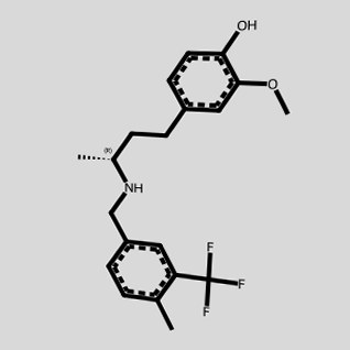 COc1cc(CC[C@@H](C)NCc2ccc(C)c(C(F)(F)F)c2)ccc1O